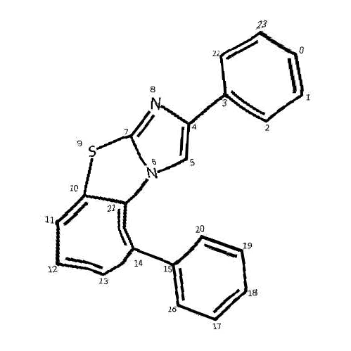 c1ccc(-c2cn3c(n2)sc2cccc(-c4ccccc4)c23)cc1